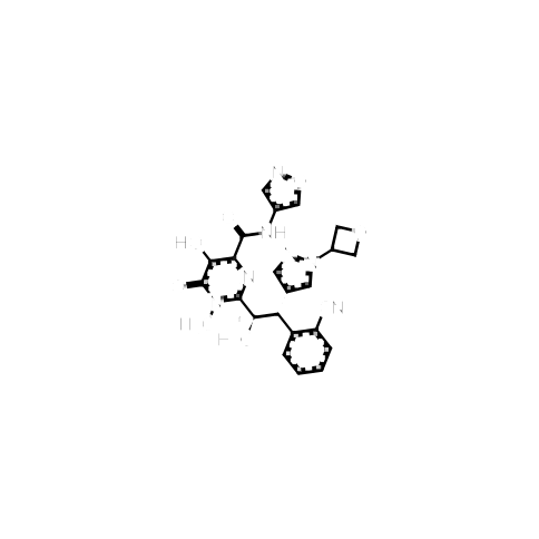 C[C@@H](c1nc(C(=O)Nc2cnoc2)c(O)c(=O)n1C)[C@H](c1cnn(C2COC2)c1)c1ccccc1C#N